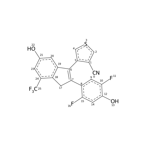 N#Cc1cscc1C1=C(c2cc(F)c(O)cc2F)Cc2c1cc(O)cc2C(F)(F)F